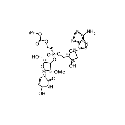 CO[C@H]1C(OP(=O)(OC[C@H]2O[C@@H](n3cnc4c(N)ncnc43)C[C@H]2O)SCOC(=O)OC(C)C)[C@@H](CO)O[C@H]1N1C=CC(O)NC1=O